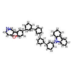 c1cc(-c2cccc(-c3cccc(-n4c5ccccc5c5ccccc54)c3)c2)cc(-c2cccc(-c3ccc4oc5ccncc5c4c3)c2)c1